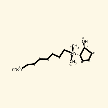 CCCCCCCCCCCCCCCC[N+](C)(C)[C@H]1CCC[C@@H]1O